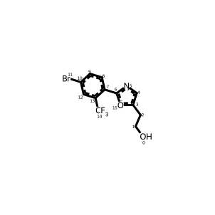 OCCc1cnc(-c2ccc(Br)cc2C(F)(F)F)o1